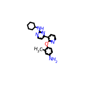 Cc1cc(N)ccc1Oc1ncccc1-c1ccnc(NC2CCCCC2)n1